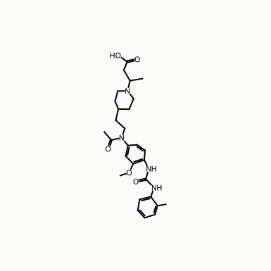 COc1cc(N(CCC2CCN(C(C)CC(=O)O)CC2)C(C)=O)ccc1NC(=O)Nc1ccccc1C